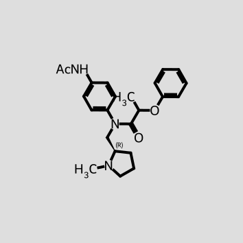 CC(=O)Nc1ccc(N(C[C@H]2CCCN2C)C(=O)C(C)Oc2ccccc2)cc1